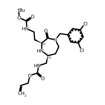 C=CCOC(=O)NC[C@@H]1CCN(Cc2cc(Cl)cc(Cl)c2)C(=O)[C@H](CCNC(=O)OC(C)(C)C)N1